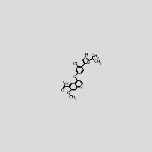 COc1cc2nccc(Oc3ccc(-c4c[nH]c(C(C)C)n4)c(Cl)c3)c2cc1C(N)=O